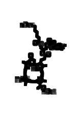 CCCCCCCCCCCCCCCC(=O)OCC(COP(=O)(OC)OCCN(C)C)OC(=O)CCC1c2[nH]c(cc3nc(cc4[nH]c(cc5nc6c2CC(=O)C6=C5C)c(CC)c4C)C(C(C)OCCCCCCCC)=C3C)C1C